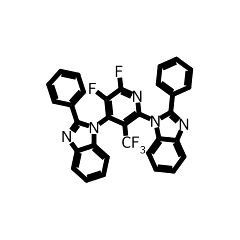 Fc1nc(-n2c(-c3ccccc3)nc3ccccc32)c(C(F)(F)F)c(-n2c(-c3ccccc3)nc3ccccc32)c1F